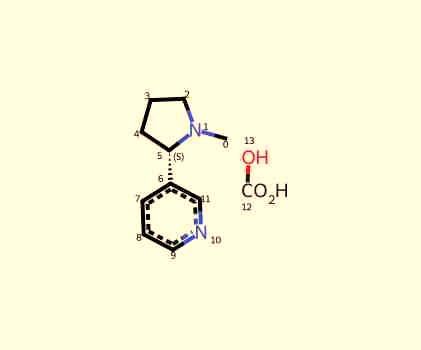 CN1CCC[C@H]1c1cccnc1.O=C(O)O